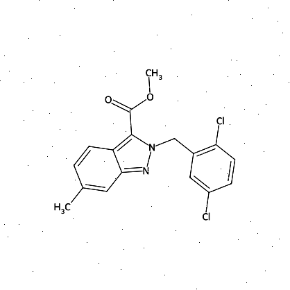 COC(=O)c1c2ccc(C)cc2nn1Cc1cc(Cl)ccc1Cl